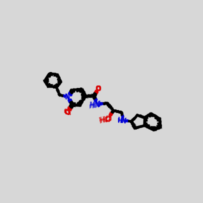 O=C(NCC(O)CNC1Cc2ccccc2C1)c1ccn(Cc2ccccc2)c(=O)c1